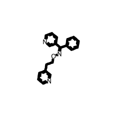 c1ccc(C(=NOCCc2cccnc2)c2cccnc2)cc1